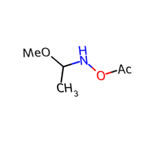 COC(C)NOC(C)=O